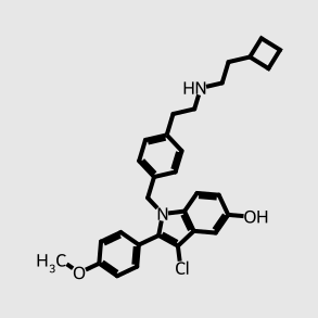 COc1ccc(-c2c(Cl)c3cc(O)ccc3n2Cc2ccc(CCNCCC3CCC3)cc2)cc1